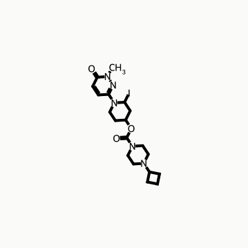 Cn1nc(N2CCC(OC(=O)N3CCN(C4CCC4)CC3)CC2I)ccc1=O